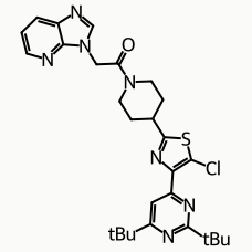 CC(C)(C)c1cc(-c2nc(C3CCN(C(=O)Cn4cnc5cccnc54)CC3)sc2Cl)nc(C(C)(C)C)n1